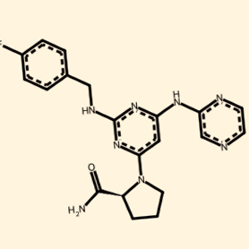 NC(=O)[C@@H]1CCCN1c1cc(Nc2cnccn2)nc(NCc2ccc(F)cc2)n1